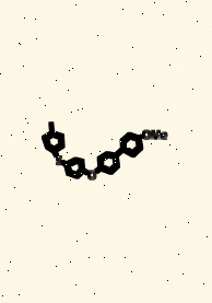 COc1ccc(-c2ccc(Oc3ccc(Sc4ccc(C)cc4)cc3)cc2)cc1